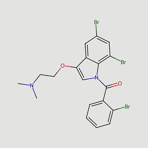 CN(C)CCOc1cn(C(=O)c2ccccc2Br)c2c(Br)cc(Br)cc12